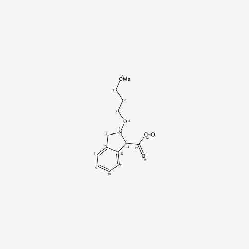 COCCCON1Cc2ccccc2C1C(=O)C=O